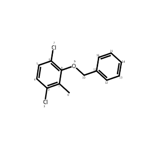 Cc1c(Cl)ccc(Cl)c1OCc1ccccc1